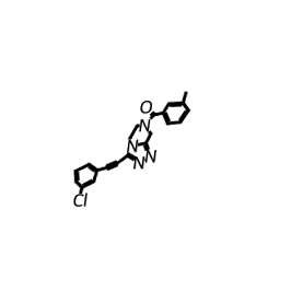 Cc1cccc(C(=O)N2CCn3c(C#Cc4cccc(Cl)c4)nnc3C2)c1